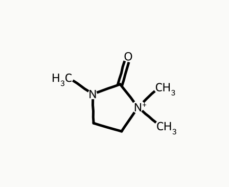 CN1CC[N+](C)(C)C1=O